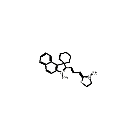 CCC[N+]1=C(/C=C/C=C2\SCCN2CC)C2(CCCCC2)c2c1ccc1ccccc21